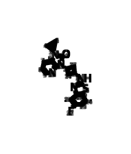 O=c1n(C2CC2)c2cccnc2n1[C@H]1C[C@H](Nc2nc3cc(F)ccc3s2)C1